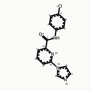 O=C(Nc1ccc(Cl)cc1)c1cccc(-n2ccnc2)n1